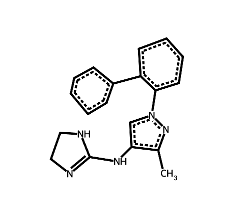 Cc1nn(-c2ccccc2-c2ccccc2)cc1NC1=NCCN1